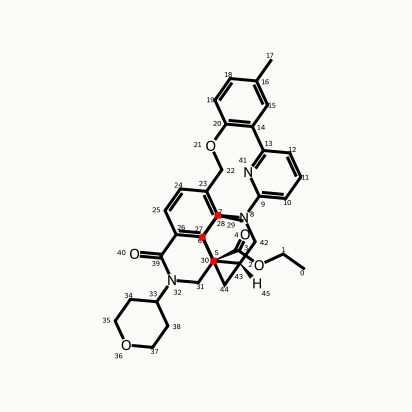 CCOC(=O)[C@@]12CCN(c3cccc(-c4cc(C)ccc4OCc4ccc5c(c4C)CCN(C4CCOCC4)C5=O)n3)C[C@@H]1C2